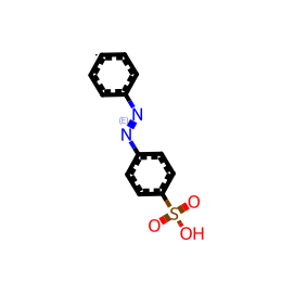 O=S(=O)(O)c1ccc(/N=N/c2cc[c]cc2)cc1